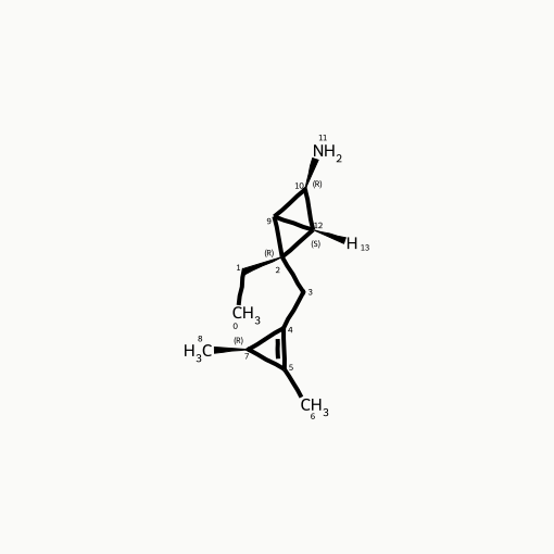 CC[C@@]1(CC2=C(C)[C@H]2C)C2[C@@H](N)[C@@H]21